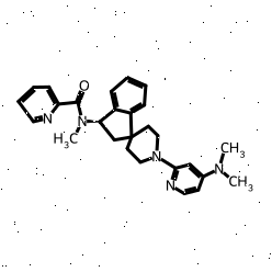 CN(C)c1ccnc(N2CCC3(CC2)C[C@@H](N(C)C(=O)c2ccccn2)c2ccccc23)c1